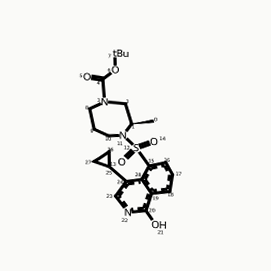 C[C@@H]1CN(C(=O)OC(C)(C)C)CCCN1S(=O)(=O)c1cccc2c(O)ncc(C3CC3)c12